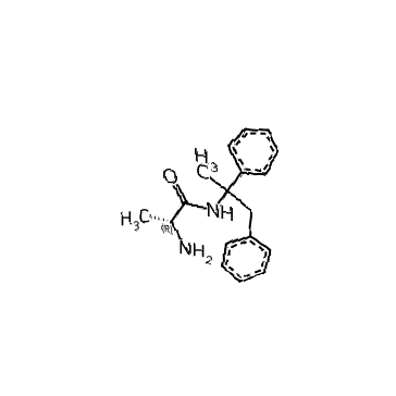 C[C@@H](N)C(=O)NC(C)(Cc1ccccc1)c1ccccc1